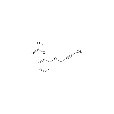 CC#CCOc1ccccc1OC(C)=O